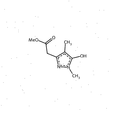 COC(=O)Cc1nn(C)c(O)c1C